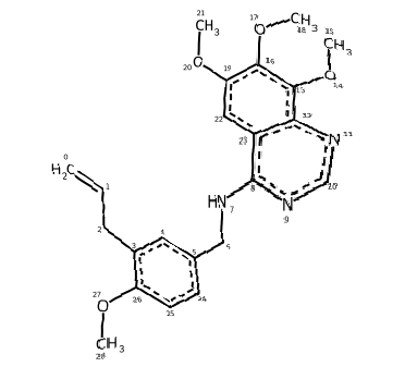 C=CCc1cc(CNc2ncnc3c(OC)c(OC)c(OC)cc23)ccc1OC